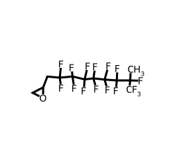 CC(F)(C(F)(F)F)C(F)(F)C(F)(F)C(F)(F)C(F)(F)C(F)(F)C(F)(F)CC1CO1